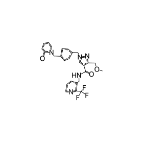 COCc1nn(Cc2ccc(Cn3ccccc3=O)cc2)cc1C(=O)NCc1cccnc1C(F)(F)F